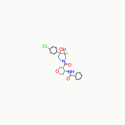 CC1(C)CN(C(=O)[C@@H]2COCC[C@@H]2NC(=O)c2ccccc2)CC[C@]1(O)c1ccc(Cl)cc1